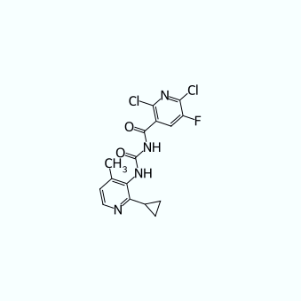 Cc1ccnc(C2CC2)c1NC(=O)NC(=O)c1cc(F)c(Cl)nc1Cl